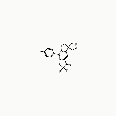 O=C(c1cc2c(c(-c3ccc(F)cc3)n1)OCC2(CF)CI)C(F)(F)F